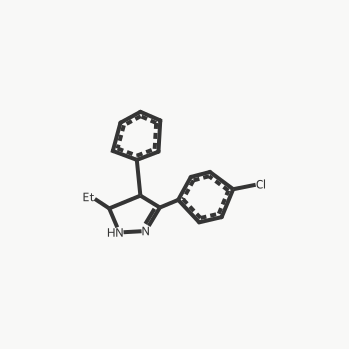 CCC1NN=C(c2ccc(Cl)cc2)C1c1ccccc1